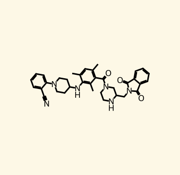 Cc1cc(C)c(C(=O)N2CCNC(CN3C(=O)c4ccccc4C3=O)C2)c(C)c1NC1CCN(c2ccccc2C#N)CC1